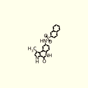 Cc1c[nH]c2c(=O)[nH]c3ccc(NS(=O)(=O)c4ccc5ccccc5c4)cc3c12